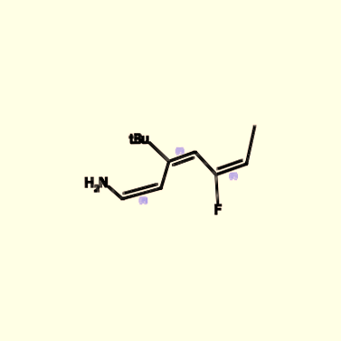 C\C=C(F)/C=C(\C=C/N)C(C)(C)C